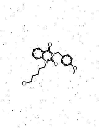 COc1ccc(Cn2c(=O)c3ccccc3n(CCCCCCl)c2=O)cc1